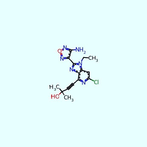 CCn1c(-c2nonc2N)nc2c(C#CC(C)(C)O)nc(Cl)cc21